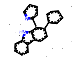 c1ccc(-c2ccc3c([nH]c4ccccc43)c2-c2ccccn2)cc1